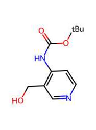 CC(C)(C)OC(=O)Nc1ccncc1CO